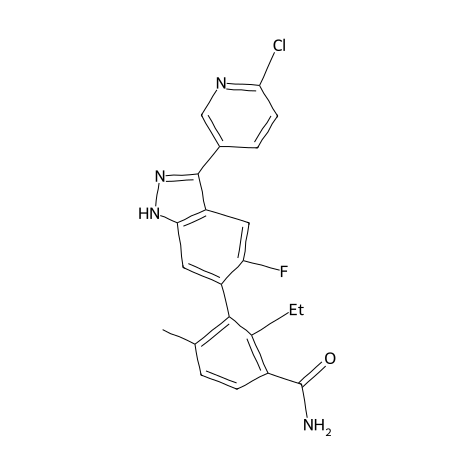 CCc1c(C(N)=O)ccc(C)c1-c1cc2[nH]nc(-c3ccc(Cl)nc3)c2cc1F